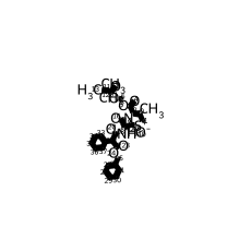 CC1=C(C(=O)OCOC(=O)C(C)(C)C)N2C(=O)C(NC(=O)C(C(=O)OCc3ccccc3)c3ccccc3)[C@H]2[S+]([O-])C1